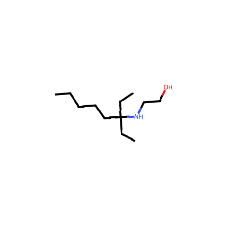 CCCCCC(CC)(CC)NCCO